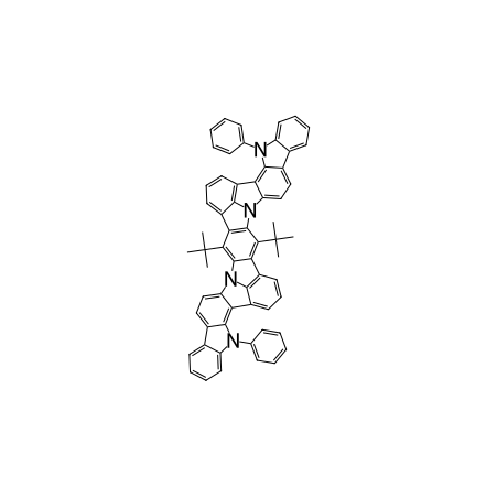 CC(C)(C)c1c2c3cccc4c5c6c(ccc5n(c2c(C(C)(C)C)c2c5cccc7c8c9c(ccc8n(c12)c57)c1ccccc1n9-c1ccccc1)c34)c1ccccc1n6-c1ccccc1